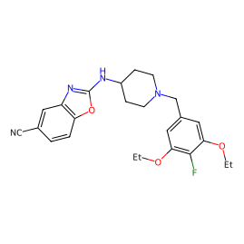 CCOc1cc(CN2CCC(Nc3nc4cc(C#N)ccc4o3)CC2)cc(OCC)c1F